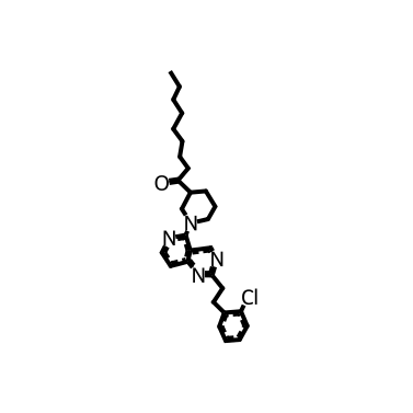 CCCCCCCCC(=O)C1CCCN(c2nccc3nc(CCc4ccccc4Cl)ncc23)C1